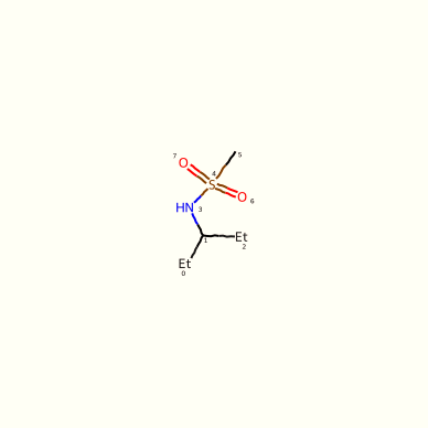 CCC(CC)NS(C)(=O)=O